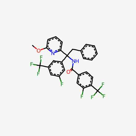 COc1cccc(C(Cc2ccccc2)(NC(=O)c2ccc(C(F)(F)F)c(F)c2)c2cc(F)cc(C(F)(F)F)c2)n1